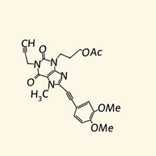 C#CCn1c(=O)c2c(nc(C#Cc3ccc(OC)c(OC)c3)n2C)n(CCCOC(C)=O)c1=O